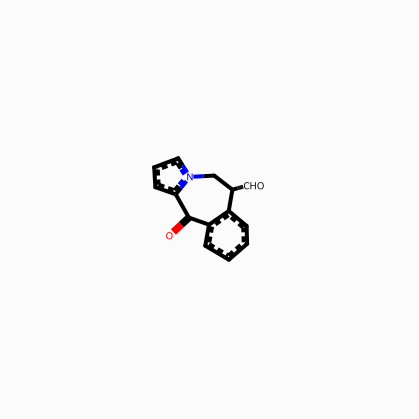 O=CC1Cn2cccc2C(=O)c2ccccc21